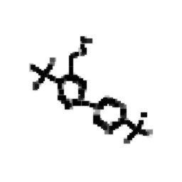 FC(F)(F)c1ncc(-c2cc(COS)c(C(F)(F)F)cn2)cn1